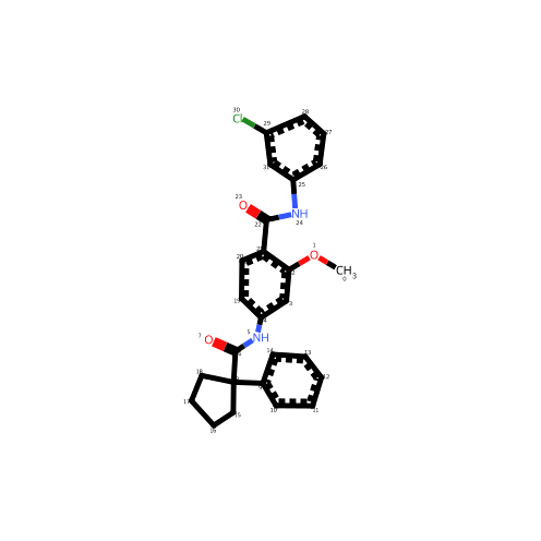 COc1cc(NC(=O)C2(c3ccccc3)CCCC2)ccc1C(=O)Nc1cccc(Cl)c1